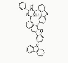 C1=Cc2c(n(-c3ccc4oc5c(-c6ccc7sc8cccc(C9NC(c%10ccccc%10)=NC(c%10ccccc%10)N9)c8c7c6)cccc5c4c3)c3ccccc23)CC1